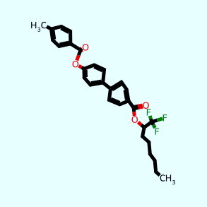 CCCCCCC(OC(=O)c1ccc(-c2ccc(OC(=O)c3ccc(C)cc3)cc2)cc1)C(F)(F)F